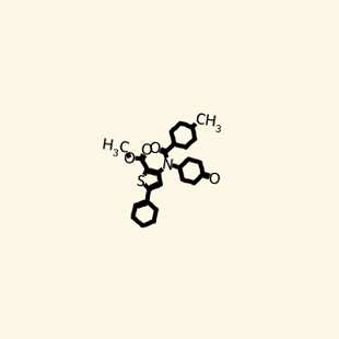 COC(=O)c1sc(C2=CCCCC2)cc1N(C(=O)C1CCC(C)CC1)C1CCC(=O)CC1